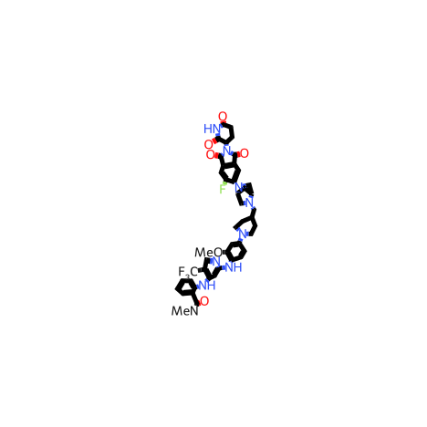 CNC(=O)c1ccccc1Nc1cc(Nc2ccc(N3CCC(CN4CC5CC4CN5c4cc5c(cc4F)C(=O)N(C4CCC(=O)NC4=O)C5=O)CC3)cc2OC)ncc1C(F)(F)F